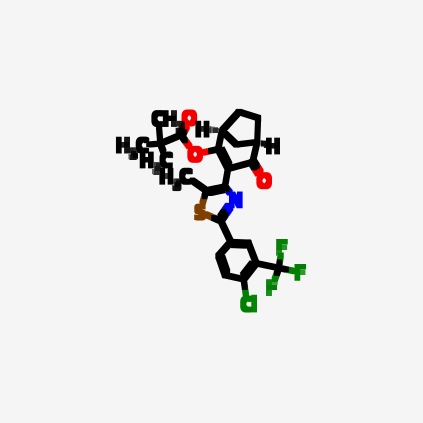 Cc1sc(-c2ccc(Cl)c(C(F)(F)F)c2)nc1C1=C(OC(=O)C(C)(C)C)[C@H]2CC[C@H](C2)C1=O